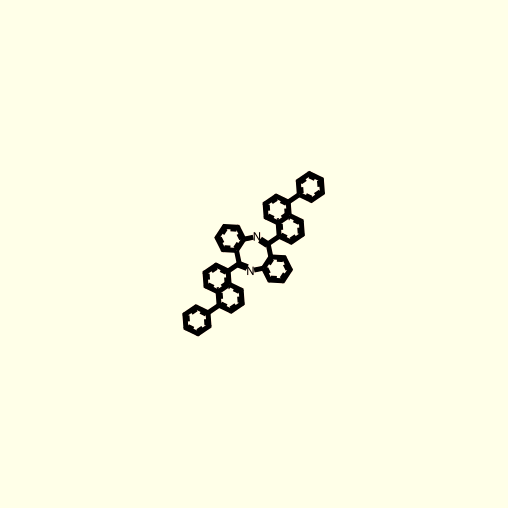 c1ccc(-c2cccc3c(/C4=N/c5ccccc5/C(c5cccc6c(-c7ccccc7)cccc56)=N\c5ccccc54)cccc23)cc1